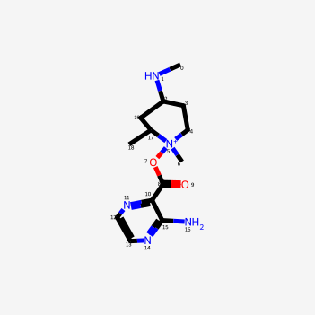 CNC1CC[N+](C)(OC(=O)c2nccnc2N)C(C)C1